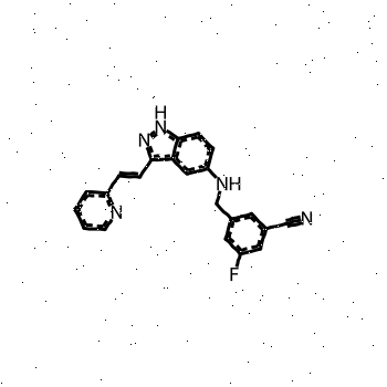 N#Cc1cc(F)cc(CNc2ccc3[nH]nc(C=Cc4ccccn4)c3c2)c1